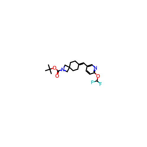 CC(C)(C)OC(=O)N1CC2(CCC(=Cc3ccc(OC(F)F)nc3)CC2)C1